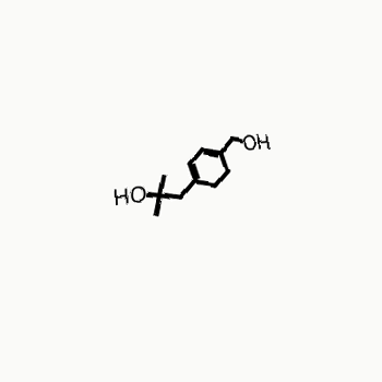 CC(C)(O)CC1=CC=C(CO)CC1